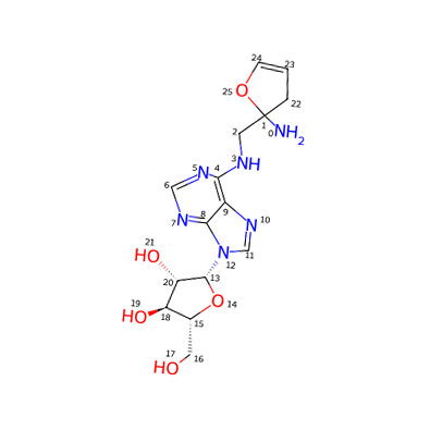 NC1(CNc2ncnc3c2ncn3[C@@H]2O[C@H](CO)[C@@H](O)[C@@H]2O)CC=CO1